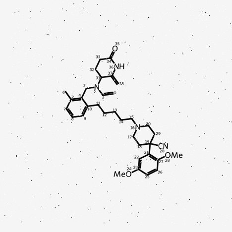 C=CN(Cc1c(C)cccc1CCCCCN1CCC(C#N)(c2cc(OC)ccc2OC)CC1)C1CCC(=O)NC1=C